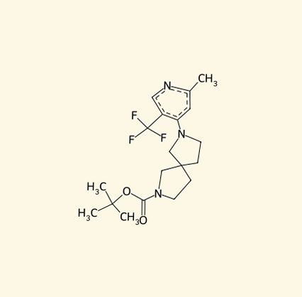 Cc1cc(N2CCC3(CCN(C(=O)OC(C)(C)C)C3)C2)c(C(F)(F)F)cn1